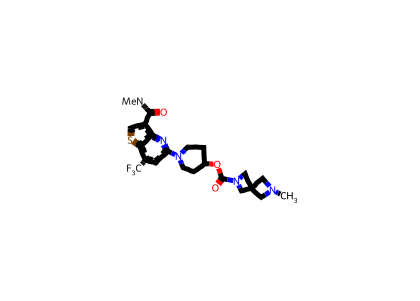 CNC(=O)c1csc2c(C(F)(F)F)cc(N3CCC(OC(=O)N4CC5(CN(C)C5)C4)CC3)nc12